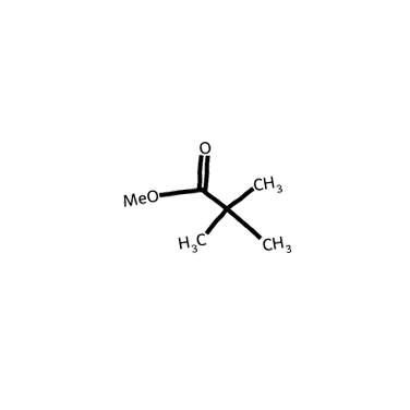 [CH2]OC(=O)C(C)(C)C